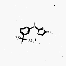 CC(F)(C(=O)O)c1cccc(Nc2nc(C(F)(F)F)cs2)c1